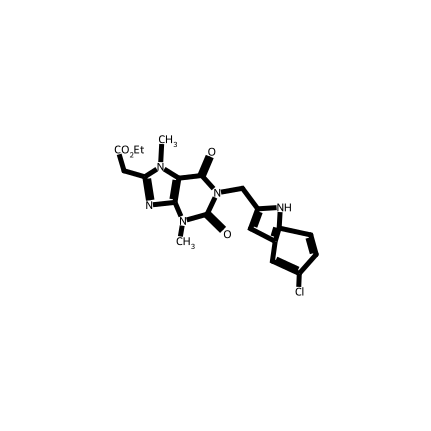 CCOC(=O)Cc1nc2c(c(=O)n(Cc3cc4cc(Cl)ccc4[nH]3)c(=O)n2C)n1C